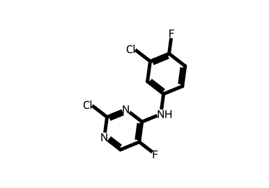 Fc1ccc(Nc2nc(Cl)ncc2F)cc1Cl